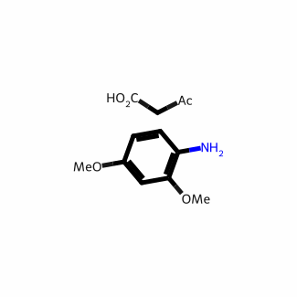 CC(=O)CC(=O)O.COc1ccc(N)c(OC)c1